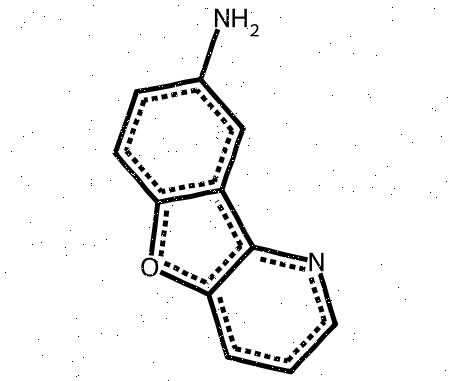 Nc1ccc2oc3cccnc3c2c1